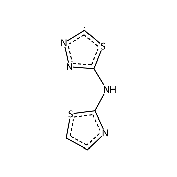 [c]1nnc(Nc2nccs2)s1